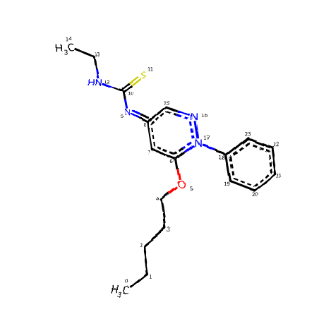 CCCCCOc1cc(=NC(=S)NCC)cnn1-c1ccccc1